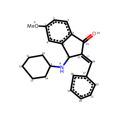 COc1ccc2c(c1)C(NC1CCCCC1)/C(=C\c1ccccc1)C2=O